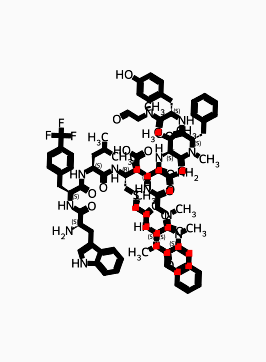 CCCC[C@@H](C(=O)N(C)CC(=O)N[C@@H](CC(=O)O)C(=O)N[C@H](C(=O)N(C)[C@@H](Cc1ccccc1)C(=O)N[C@@H](Cc1ccc(O)cc1)C(=O)N(C)CC=O)C(C)C)N(C)C(=O)[C@H](Cc1ccccc1)N(C)C(=O)[C@H](Cc1ccccc1)NC(=O)CSC[C@H](NC(=O)[C@H](CC(C)C)NC(=O)[C@H](Cc1ccc(C(F)(F)F)cc1)NC(=O)[C@@H](N)Cc1c[nH]c2ccccc12)C(=O)NCC(N)=O